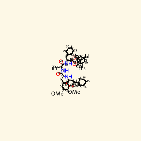 COc1cc(C[C@H](Nc2cccc(-c3ccccc3)c2)C(=O)N[C@H](C(=O)N[C@@H](Cc2ccccc2)B2O[C@@H]3C[C@@H]4C[C@@H](C4(C)C)[C@]3(C)O2)C(C)C)cc(OC)c1OC